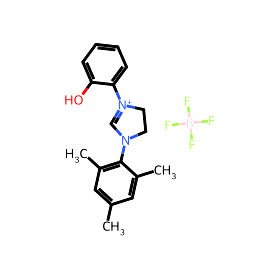 Cc1cc(C)c(N2C=[N+](c3ccccc3O)CC2)c(C)c1.F[B-](F)(F)F